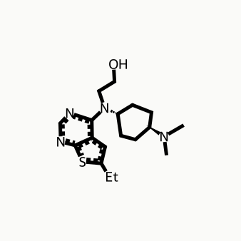 CCc1cc2c(N(CCO)[C@H]3CC[C@H](N(C)C)CC3)ncnc2s1